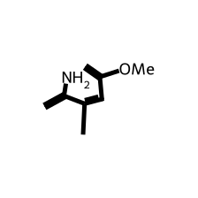 C=C(/C=C(/C)C(=C)N)OC